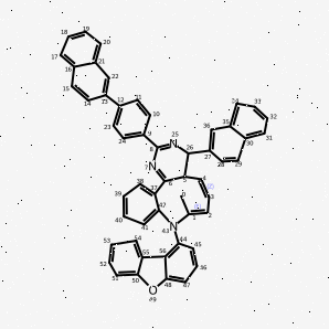 C/C1=C\C=C/C2C(=NC(c3ccc(-c4ccc5ccccc5c4)cc3)=NC2c2ccc3ccccc3c2)c2ccccc2N1c1cccc2oc3ccccc3c12